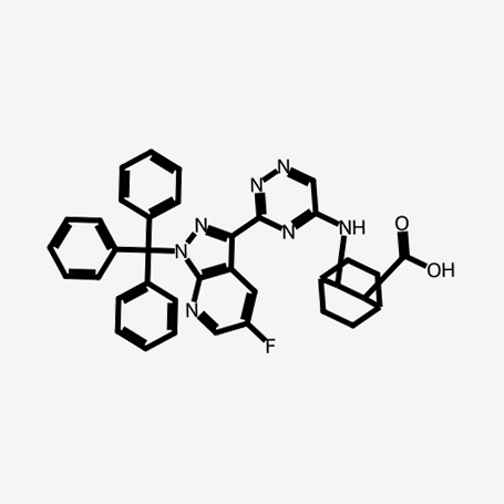 O=C(O)C1C2CCC(CC2)C1Nc1cnnc(-c2nn(C(c3ccccc3)(c3ccccc3)c3ccccc3)c3ncc(F)cc23)n1